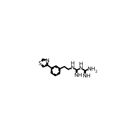 N=C(N)NC(=N)NCCc1cccc(-c2cscn2)c1